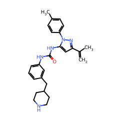 C=C(C)c1cc(NC(=O)Nc2cccc(CC3CCNCC3)c2)n(-c2ccc(C)cc2)n1